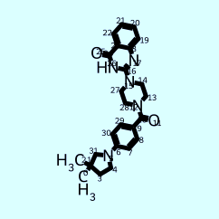 CC1(C)CCN(c2ccc(C(=O)N3CCN(c4nc5ccccc5c(=O)[nH]4)CC3)cc2)C1